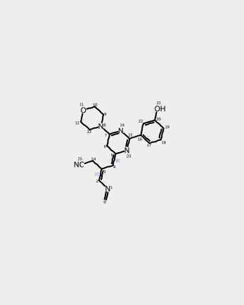 C=N/C=C(\C=C1/CC(N2CCOCC2)=NC(c2cccc(O)c2)=N1)CC#N